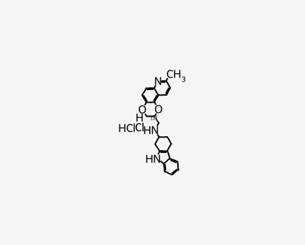 Cc1ccc2c3c(ccc2n1)OC[C@H](CNC1CCc2c([nH]c4ccccc24)C1)O3.Cl.Cl